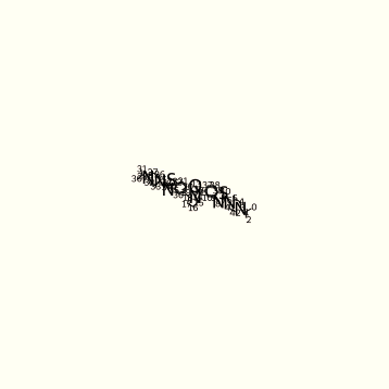 CC(C)N1CCN(c2nc3cc(C(=O)N4CCCC4c4ccc5sc(N6CCN(C(C)C)CC6)nc5c4)ccc3s2)CC1